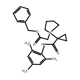 Cc1cc(C)c(NC(=O)C2([N+]3(CC(=O)OCc4ccccc4)CCCC3)CC2)c(C)c1